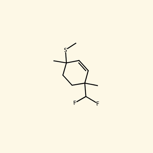 CSC1(C)C=CC(C)(C(F)F)CC1